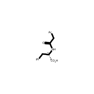 CC(=O)CC(=O)N[C@@H](CC(C)C)C(=O)O